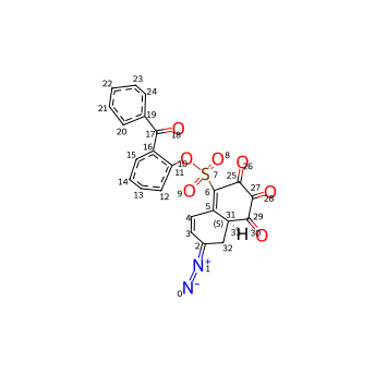 [N-]=[N+]=C1C=CC2=C(S(=O)(=O)Oc3ccccc3C(=O)c3ccccc3)C(=O)C(=O)C(=O)[C@H]2C1